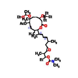 CCOC(C)OC1(C)CCC(O[Si](CC)(CC)CC)CC(=O)OC(/C(C)=C/C=C/C(C)CC2OC2C(C)C(CC)OC(=O)N(C)C)C(C)/C=C/C1OC(C)=O